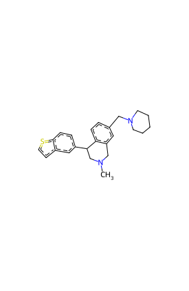 CN1Cc2cc(CN3CCCCC3)ccc2C(c2ccc3sccc3c2)C1